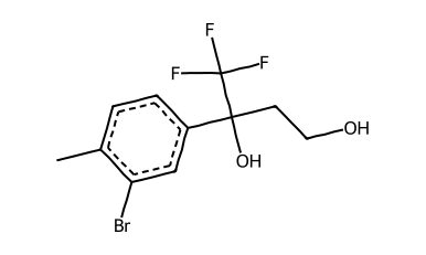 Cc1ccc(C(O)(CCO)C(F)(F)F)cc1Br